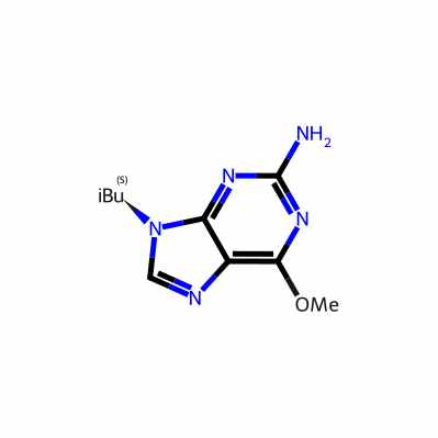 CC[C@H](C)n1cnc2c(OC)nc(N)nc21